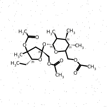 CC[C@H]1O[C@@](COC(C)=O)(O[C@H]2OC(COC(C)=O)[C@@H](C)[C@H](C)C2C)CC1(C)OC(C)=O